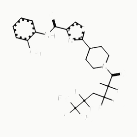 CC(C)(C)c1ccccc1NC(=O)c1csc(C2CCN(C(=O)C(F)(F)C(F)(CC(F)(F)C(C(F)(F)F)(C(F)(F)F)C(F)(F)F)C(F)(F)F)CC2)n1